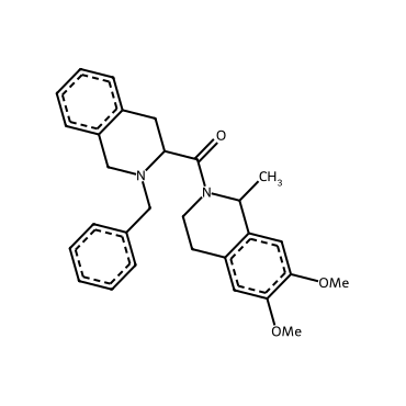 COc1cc2c(cc1OC)C(C)N(C(=O)C1Cc3ccccc3CN1Cc1ccccc1)CC2